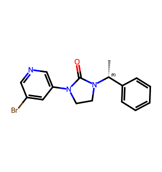 C[C@H](c1ccccc1)N1CCN(c2cncc(Br)c2)C1=O